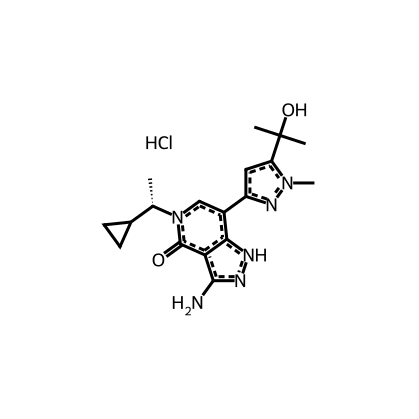 C[C@@H](C1CC1)n1cc(-c2cc(C(C)(C)O)n(C)n2)c2[nH]nc(N)c2c1=O.Cl